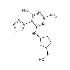 Cc1nc(N)nc(N[C@H]2CC[C@@H](CO)C2)c1-c1cscn1